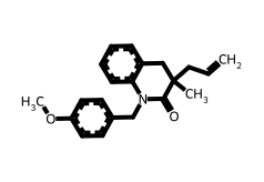 C=CCC1(C)Cc2ccccc2N(Cc2ccc(OC)cc2)C1=O